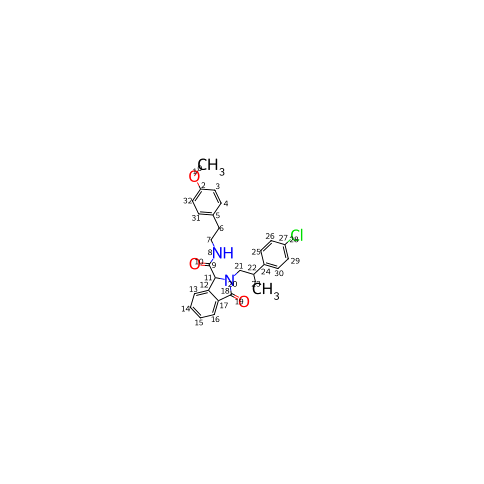 COc1ccc(CCNC(=O)C2c3ccccc3C(=O)N2CC(C)c2ccc(Cl)cc2)cc1